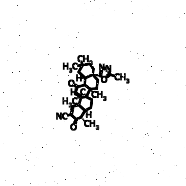 Cc1nnc([C@]23CCC(C)(C)C[C@@H]2C2C(=O)C=C4[C@@]5(C)C=C(C#N)C(=O)[C@@H](C)[C@@H]5CC[C@@]4(C)[C@]2(C)CC3)o1